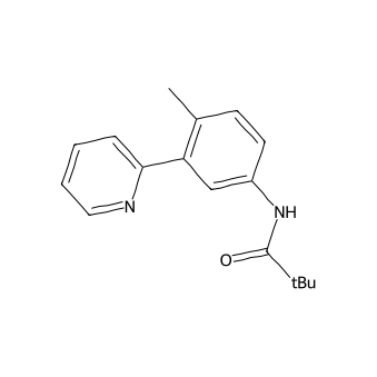 Cc1ccc(NC(=O)C(C)(C)C)cc1-c1ccccn1